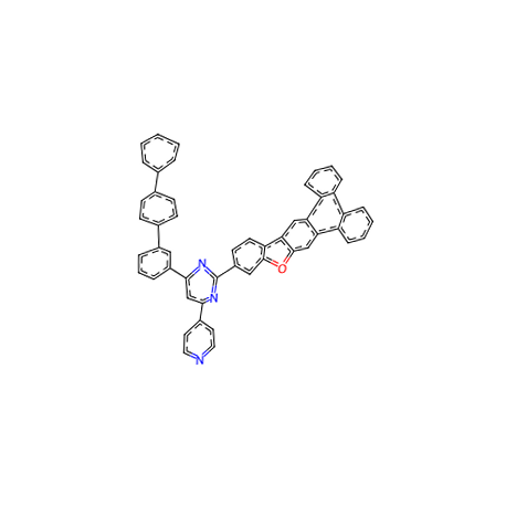 c1ccc(-c2ccc(-c3cccc(-c4cc(-c5ccncc5)nc(-c5ccc6c(c5)oc5cc7c8ccccc8c8ccccc8c7cc56)n4)c3)cc2)cc1